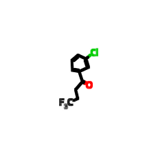 O=C(CCC(F)(F)F)c1cccc(Cl)c1